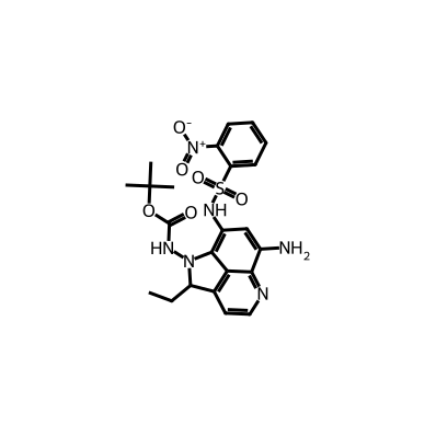 CCC1c2ccnc3c(N)cc(NS(=O)(=O)c4ccccc4[N+](=O)[O-])c(c23)N1NC(=O)OC(C)(C)C